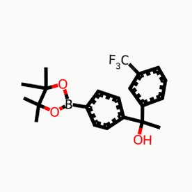 CC(O)(c1ccc(B2OC(C)(C)C(C)(C)O2)cc1)c1cccc(C(F)(F)F)c1